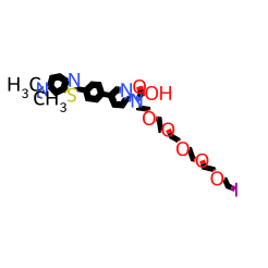 CN(C)c1ccc2nc(-c3ccc(-c4ccc(N(CCOCCOCCOCCOCCOCCI)C(=O)O)nc4)cc3)sc2c1